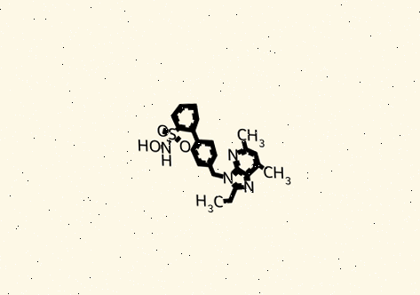 CCc1nc2c(C)cc(C)nc2n1Cc1ccc(-c2ccccc2S(=O)(=O)NO)cc1